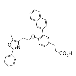 Cc1oc(-c2ccccc2)nc1CCOc1ccc(CCC(=O)O)cc1-c1ccc2ccccc2c1